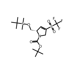 CC(C)(C)OC(=O)N1CC(S(=O)(=O)C(F)(F)F)=C[C@H]1CO[Si](C)(C)C(C)(C)C